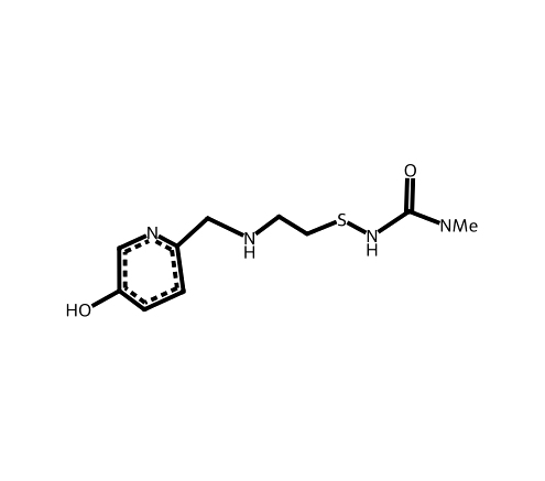 CNC(=O)NSCCNCc1ccc(O)cn1